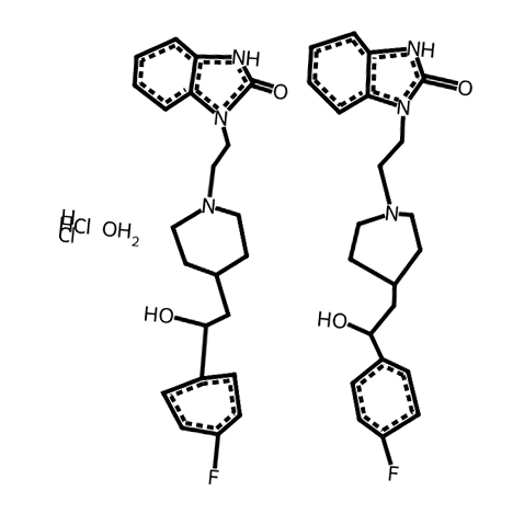 Cl.Cl.O.O=c1[nH]c2ccccc2n1CCN1CCC(CC(O)c2ccc(F)cc2)CC1.O=c1[nH]c2ccccc2n1CCN1CCC(CC(O)c2ccc(F)cc2)CC1